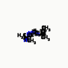 Cc1cnn(C)c1-c1ccc(N2CCC3CN(CC4C(C)CC5CC(C)CC4C5)CC32)nn1